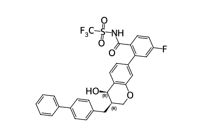 O=C(NS(=O)(=O)C(F)(F)F)c1ccc(F)cc1-c1ccc2c(c1)OC[C@@H](Cc1ccc(-c3ccccc3)cc1)[C@H]2O